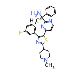 CN1CCC(c2nc(-c3cccc(F)c3)c(-c3ccnc([C@@](C)(N)c4ccccc4)n3)s2)CC1